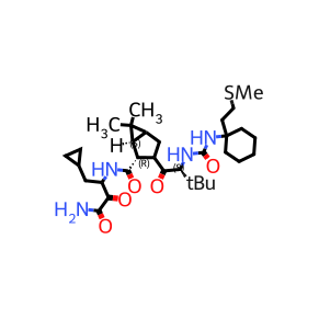 CSCCC1(NC(=O)N[C@H](C(=O)C2CC3[C@@H]([C@H]2C(=O)NC(CC2CC2)C(=O)C(N)=O)C3(C)C)C(C)(C)C)CCCCC1